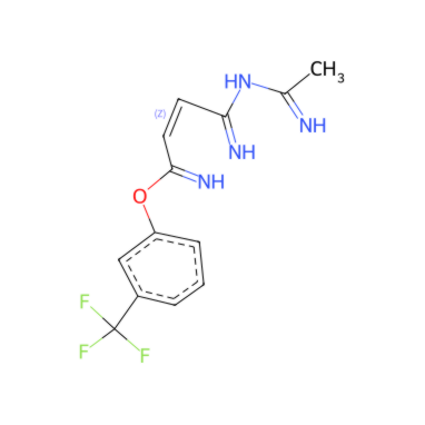 CC(=N)NC(=N)/C=C\C(=N)Oc1cccc(C(F)(F)F)c1